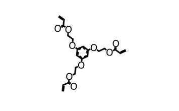 C=CC(=O)OCCOc1cc(OCCOC(=O)C=C)cc(OCCOC(=O)C=C)c1